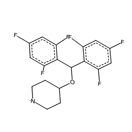 Fc1cc(F)c(C(OC2CC[N]CC2)c2c(F)cc(F)cc2F)c(F)c1